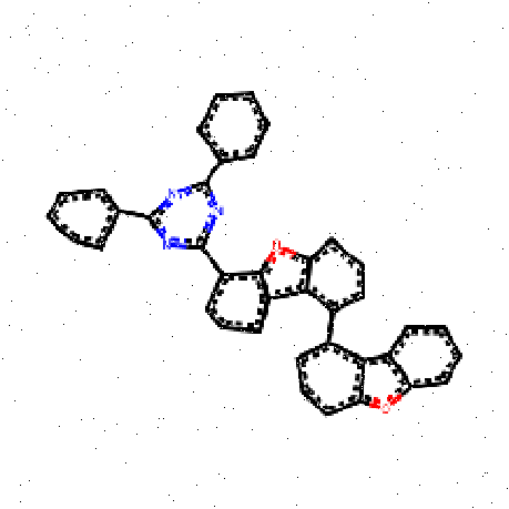 c1ccc(-c2nc(-c3ccccc3)nc(-c3cccc4c3oc3cccc(-c5cccc6oc7ccccc7c56)c34)n2)cc1